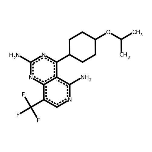 CC(C)OC1CCC(c2nc(N)nc3c(C(F)(F)F)cnc(N)c23)CC1